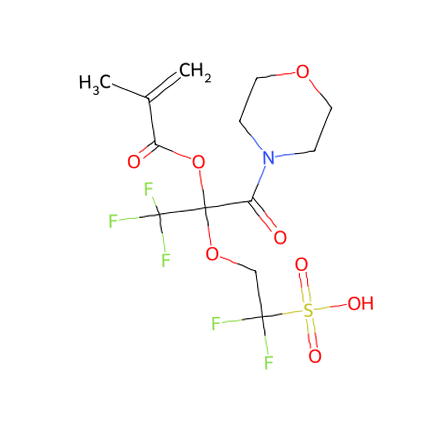 C=C(C)C(=O)OC(OCC(F)(F)S(=O)(=O)O)(C(=O)N1CCOCC1)C(F)(F)F